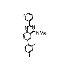 CNc1nc(-c2cccnc2)nc2ccc(-c3ccc(C)cc3C)cc12